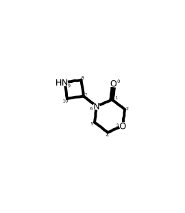 O=C1COCCN1C1CNC1